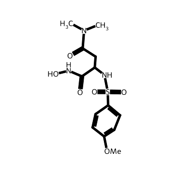 COc1ccc(S(=O)(=O)NC(CC(=O)N(C)C)C(=O)NO)cc1